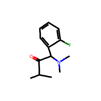 CC(C)C(=O)C(c1ccccc1F)N(C)C